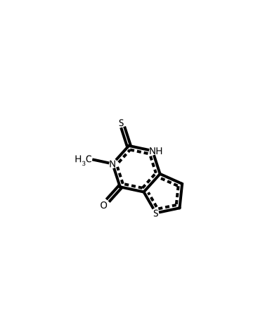 Cn1c(=S)[nH]c2ccsc2c1=O